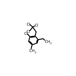 CCc1cc(C)cc(Cl)c1CC(Cl)(Cl)Cl